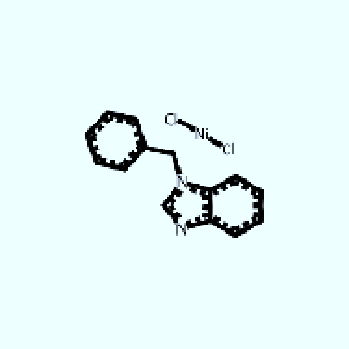 [Cl][Ni][Cl].[c]1nc2ccccc2n1Cc1ccccc1